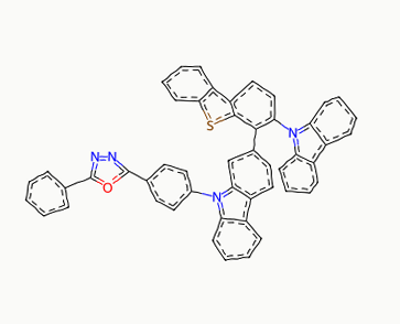 c1ccc(-c2nnc(-c3ccc(-n4c5ccccc5c5ccc(-c6c(-n7c8ccccc8c8ccccc87)ccc7c6sc6ccccc67)cc54)cc3)o2)cc1